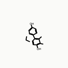 CCC.Cc1c(O)ccc(-c2ccc(O)cc2)c1C